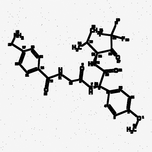 COc1ccc([C@H](NC(=O)CNC(=O)c2ccc(CN)cc2)C(=O)N[C@H](C(=O)C(F)(F)F)C(C)C)cc1